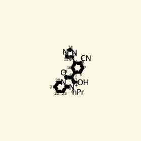 CCC[n+]1c(O)c(-c2ccc(C#N)c(-n3cncn3)c2)c(=O)n2ccccc21